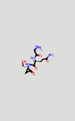 NCC(=O)N[C@@H](CCC(N)=O)C(=O)N[C@]1(CO)CC1=O